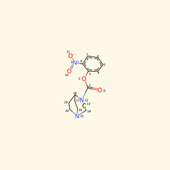 O=C(Oc1ccccc1[N+](=O)[O-])N1CCN2CCC1CC2